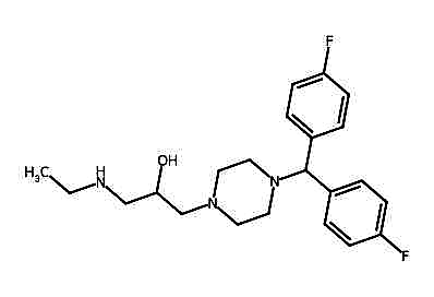 CCNCC(O)CN1CCN(C(c2ccc(F)cc2)c2ccc(F)cc2)CC1